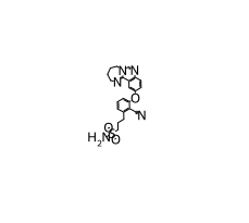 N#Cc1c(CCCS(N)(=O)=O)cccc1Oc1ccc2c(c1)C1=NCCCCN1C=N2